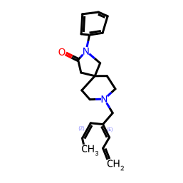 C=C/C=C(\C=C/C)CN1CCC2(CC1)CC(=O)N(c1ccccc1)C2